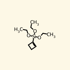 CCO[Si](OCC)(OCC)C1=CCC1